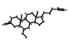 CCC1CC2C3CCC(CCCC#N)C3(C)CCC2C2(C)CCC(=O)CC12